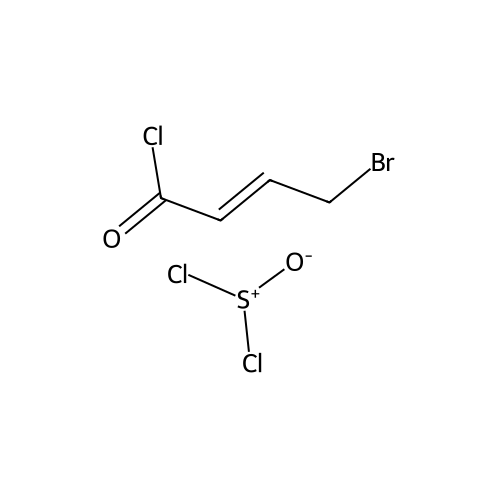 O=C(Cl)C=CCBr.[O-][S+](Cl)Cl